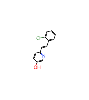 Oc1ccc(C=Cc2ccccc2Cl)nc1